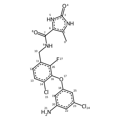 Cc1[nH]c(=O)[nH]c1C(=O)NCc1ccc(Cl)c(Oc2cc(N)cc(Cl)c2)c1F